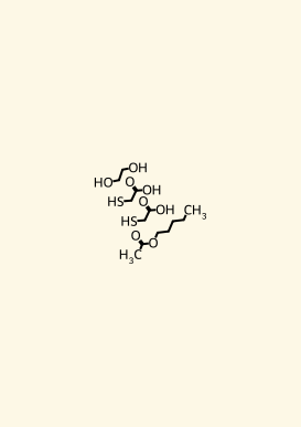 CCCCCOC(C)=O.O=C(O)CS.O=C(O)CS.OCCO